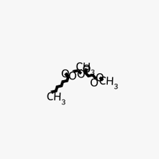 CCCCCCCC(=O)OCC(C)OC(=O)CCC(=O)OC